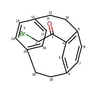 O=C(CBr)c1cc2ccc1CCc1ccc(cc1)CC2